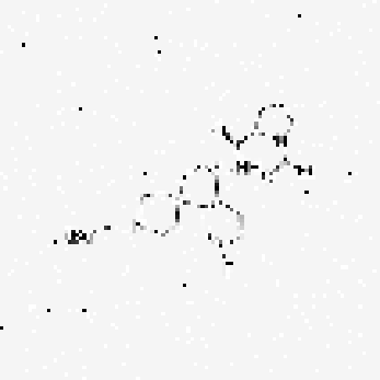 CCC(=O)N1CCCC1C(=O)N[C@H]1CCC2(CCN(CCC(C)(C)C)CC2)c2cc(F)ccc21